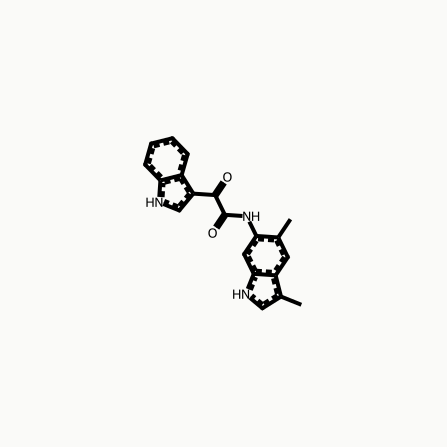 Cc1cc2c(C)c[nH]c2cc1NC(=O)C(=O)c1c[nH]c2ccccc12